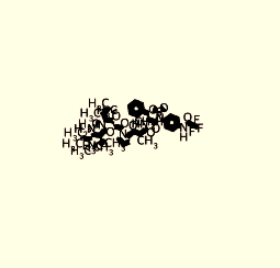 CC[C@H](C)[C@@H]([C@@H](CC(=O)N1CCC[C@H]1[C@H](OC)[C@@H](C)C(=O)N[C@@H](Cc1ccccc1)C(=O)N(c1ccc(NC(=O)C(F)(F)F)cc1)[SH](=O)=O)OC)N(C)C(=O)[C@@H](C(C)C)C(N)[C@H](C(C)C)N(C)C